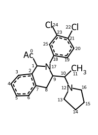 CC(=O)C1c2ccccc2CC(C(C)N2CCCC2)N1c1ccc(Cl)c(Cl)c1